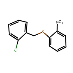 O=[N+]([O-])c1ccccc1SCc1ccccc1Cl